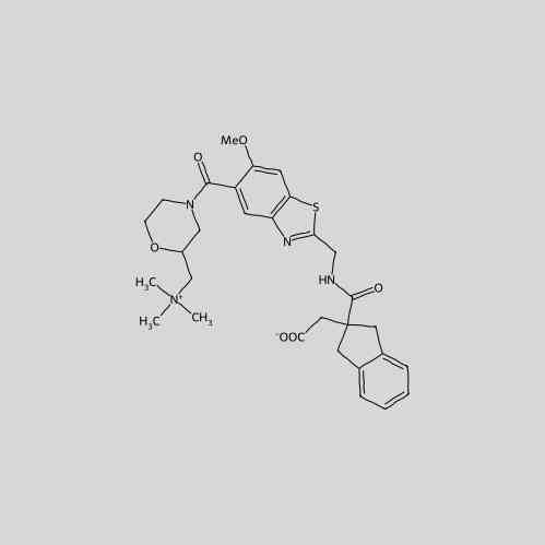 COc1cc2sc(CNC(=O)C3(CC(=O)[O-])Cc4ccccc4C3)nc2cc1C(=O)N1CCOC(C[N+](C)(C)C)C1